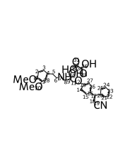 COc1ccc(CCNCC(O)COc2ccc(C(=CC#N)c3ccccc3)cc2)cc1OC.O=C(O)C(=O)O